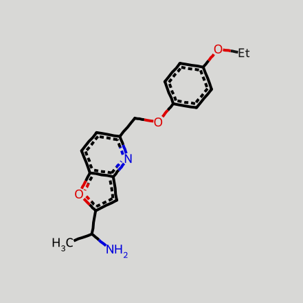 CCOc1ccc(OCc2ccc3oc(C(C)N)cc3n2)cc1